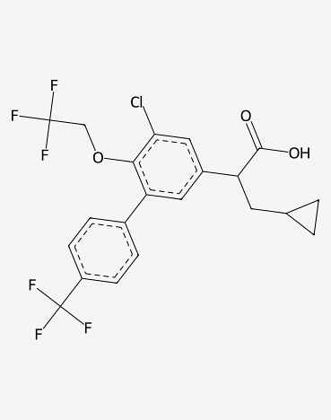 O=C(O)C(CC1CC1)c1cc(Cl)c(OCC(F)(F)F)c(-c2ccc(C(F)(F)F)cc2)c1